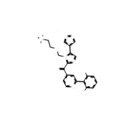 Cn1cc(-c2cnc(C(=O)c3ccnc(-c4c(F)cccc4F)c3)n2COCC[Si](C)(C)C)cn1